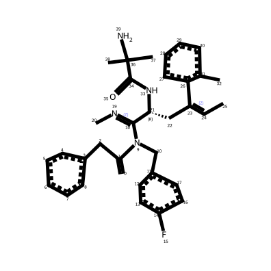 C=C(Cc1ccccc1)N(Cc1ccc(F)cc1)/C(=N\C)[C@@H](C/C(=C/C)c1ccccc1C)NC(=O)C(C)(C)N